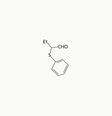 CCC(C=O)Sc1ccccc1